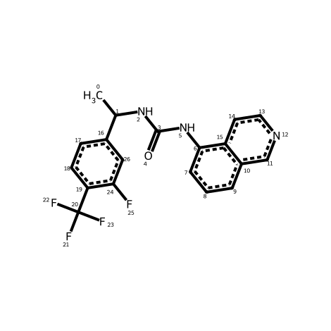 CC(NC(=O)Nc1cccc2cnccc12)c1ccc(C(F)(F)F)c(F)c1